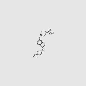 CC(C)(C)[C@H]1CC[C@H](Oc2ccc3cc(CN4CCCC(C(=O)O)CC4)ccc3c2)CC1